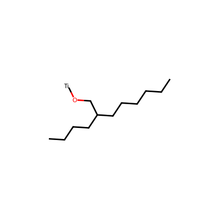 CCCCCCC(CCCC)C[O][Ti]